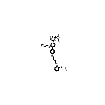 COc1ccccc1OCCCCOc1ccc(C2CCN(C(=O)OC(C)(C)C)CC2OCCO)cc1